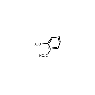 CC(=O)Oc1cccc[13c]1C(=O)O